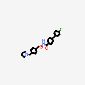 O=C(NOCc1ccc(CN2CCCC2)cc1)c1ccc(-c2ccc(Cl)cc2)cc1